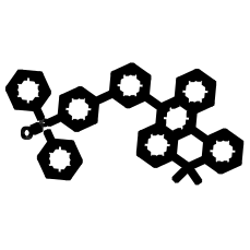 CC1(C)c2ccccc2-c2c3ccccc3c(-c3cccc(-c4ccc(P(=O)(c5ccccc5)c5ccccc5)cc4)c3)c3cccc1c23